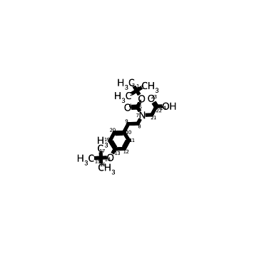 CC(C)(C)OC(=O)N(CCc1ccc(OC(C)(C)C)cc1)CC(=O)O